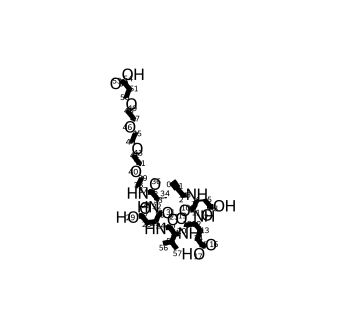 C#CCN[C@@H](CC(=O)O)C(=O)NC(CCC(=O)O)C(=O)NC(C(=O)NC(CC(=O)O)C(=O)N[C@@H](C)C(=O)NCCOCCOCCOCCOCCC(=O)O)C(C)C